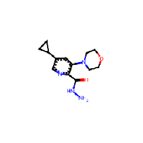 NNC(=O)c1ncc(C2CC2)cc1N1CCOCC1